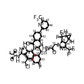 CS(=O)(=O)Nc1n[nH]c2c(-n3c([C@H](CNC(=O)Cn4nc(C(F)F)c5c4C(F)(F)[C@@H]4C[C@H]54)c4cc(F)cc(F)c4)nc4cc(-c5cccc(C(F)(F)F)n5)ccc4c3=O)ccc(CCl)c12